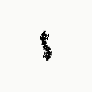 c1cc(-c2cnc([C@@H]3CC4CC4N3)[nH]2)ccc1-c1ccc2cc(-c3cnc([C@@H]4CC5CC5N4)[nH]3)ccc2c1